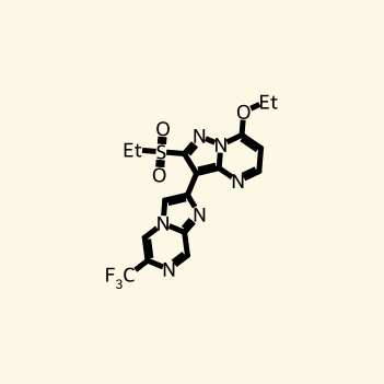 CCOc1ccnc2c(-c3cn4cc(C(F)(F)F)ncc4n3)c(S(=O)(=O)CC)nn12